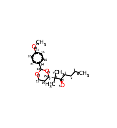 CCCCC(=O)C(C)(C)[C@@H]1CCOC(c2ccc(OC)cc2)O1